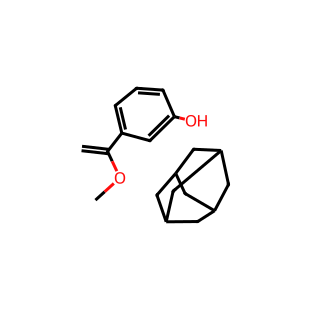 C1C2CC3CC1CC(C2)C3.C=C(OC)c1cccc(O)c1